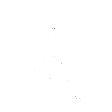 CSCCC1NC(=O)CN(CCSC)C1=O